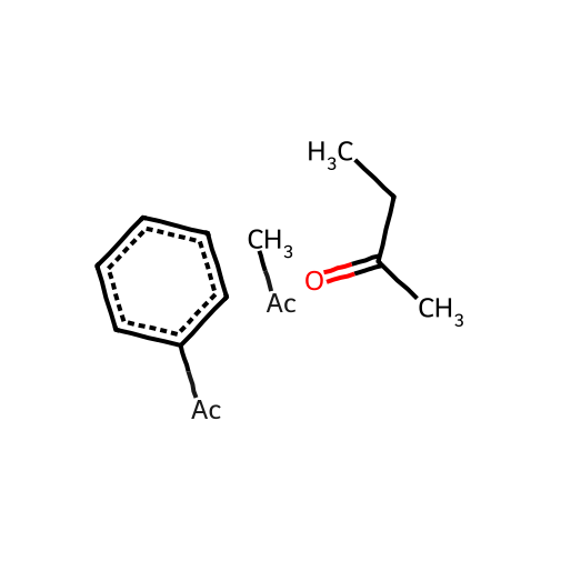 CC(=O)c1ccccc1.CC(C)=O.CCC(C)=O